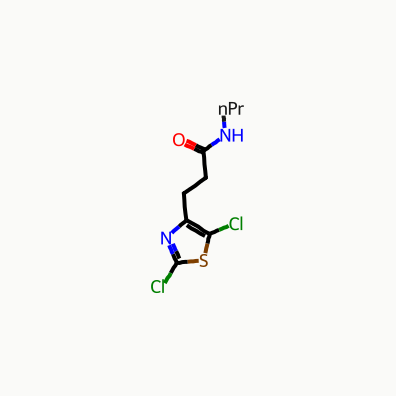 CCCNC(=O)CCc1nc(Cl)sc1Cl